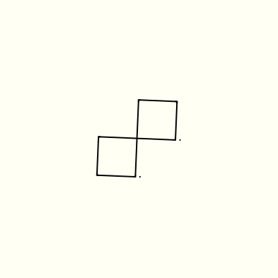 [CH]1CCC12[CH]CC2